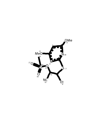 CCC(Sc1nc(OC)cc(OC)n1)C(C#N)OS(C)(=O)=O